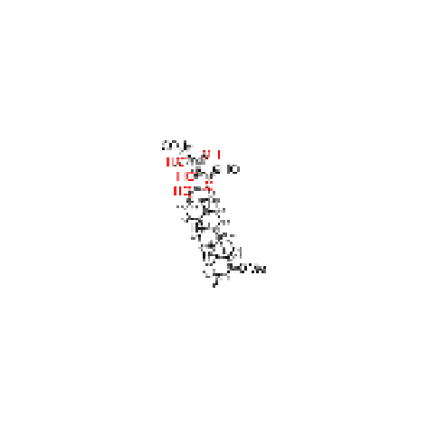 CO[C@@H]1CC(C)(C)C[C@H]2C3=CC[C@@H]4[C@@]5(C)CC[C@H](O)[C@](C)(CO[C@@H](C=O)[C@@H](O)[C@H](O)[C@H](O)C(=O)O)[C@@H]5CC[C@@]4(C)[C@]3(C)CC[C@@]12C